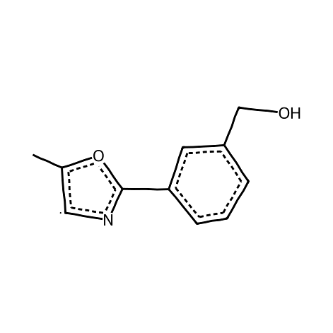 Cc1[c]nc(-c2cccc(CO)c2)o1